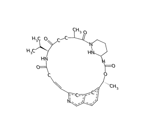 CC1CCC(=O)[C@H](C(C)C)NC(=O)C/C=C\c2cc3cc(ccc3cn2)[C@@H](C)OC(=O)[C@@H]2CCCN(N2)C1=O